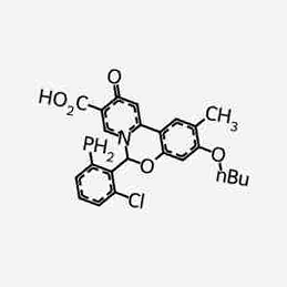 CCCCOc1cc2c(cc1C)-c1cc(=O)c(C(=O)O)cn1C(c1c(P)cccc1Cl)O2